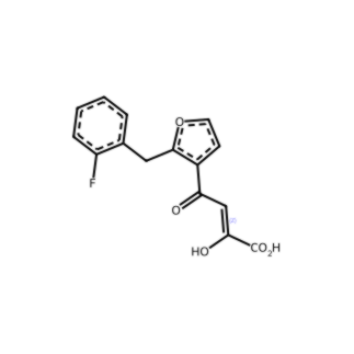 O=C(O)/C(O)=C/C(=O)c1ccoc1Cc1ccccc1F